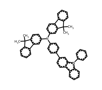 CC1(C)c2ccccc2-c2cc(N(c3ccc(-c4ccc5c6ccccc6n(-c6ccccc6)c5c4)cc3)c3ccc4c(c3)C(C)(C)c3ccccc3-4)ccc21